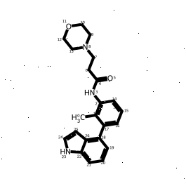 Cc1c(NC(=O)CCN2CCOCC2)cccc1-c1cccc2[nH]ccc12